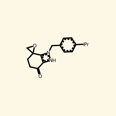 CC(C)c1ccc(Cn2[nH]c3c2C2(CCC3=O)CO2)cc1